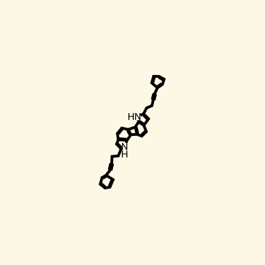 C(#Cc1ccccc1)CCc1cc2ccc3c(c2[nH]1)-c1ccc2cc(CCC#Cc4ccccc4)[nH]c2c1-3